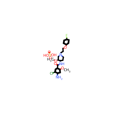 COc1cc(N)c(Cl)cc1C(=O)N[C@H]1CCN(CCCOc2ccc(F)cc2)C[C@H]1OC.O=S(=O)(O)O